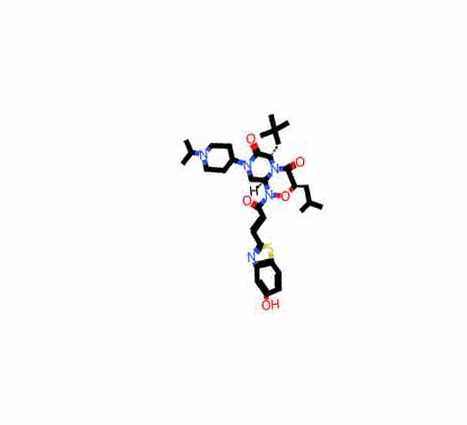 CC(C)C[C@H]1ON(C(=O)/C=C/c2nc3cc(O)ccc3s2)[C@H]2CN(C3CCN(C(C)C)CC3)C(=O)[C@H](CC(C)(C)C)N2C1=O